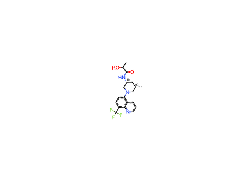 CC(O)C(=O)N[C@@H]1C[C@H](C)CN(c2ccc(C(F)(F)F)c3ncccc23)C1